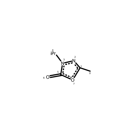 Cc1nn(C(C)C)c(=O)o1